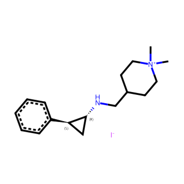 C[N+]1(C)CCC(CN[C@@H]2C[C@H]2c2ccccc2)CC1.[I-]